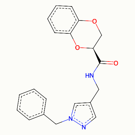 O=C(NCc1cnn(Cc2ccccc2)c1)[C@@H]1COc2ccccc2O1